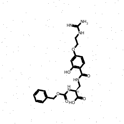 N=C(N)NCCOc1ccc(C(=O)NC[C@H](NC(=O)OCc2ccccc2)C(=O)O)c(O)c1